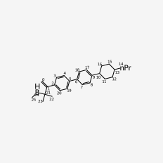 C=C(c1ccc(-c2ccc(C3CCC(CCC)CC3)cc2)cc1)C(C)(C)BC